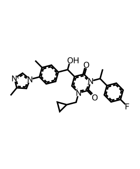 Cc1cn(-c2ccc(C(O)c3cn(CC4CC4)c(=O)n(C(C)c4ccc(F)cc4)c3=O)cc2C)cn1